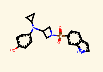 O=S(=O)(c1ccc2cc[nH]c2c1)N1CC(N(c2ccc(O)cc2)C2CC2)C1